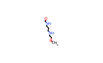 COCCNCCCNC=O